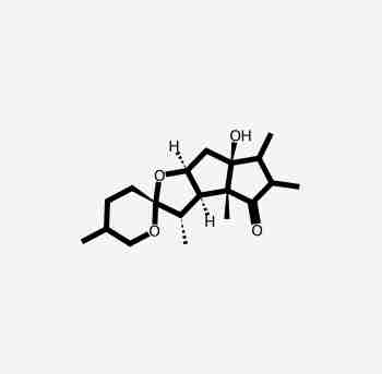 CC1CC[C@@]2(OC1)O[C@H]1C[C@]3(O)C(C)C(C)C(=O)[C@]3(C)[C@H]1[C@@H]2C